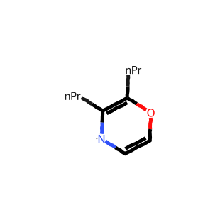 CCCC1=C(CCC)OC=C[N]1